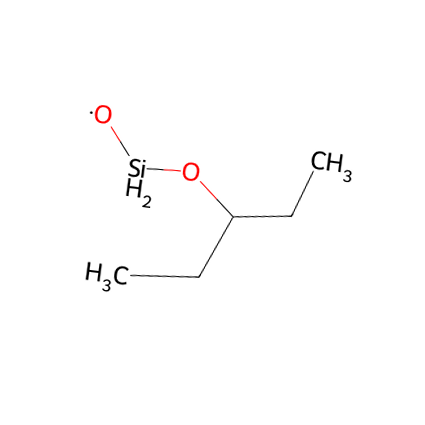 CCC(CC)O[SiH2][O]